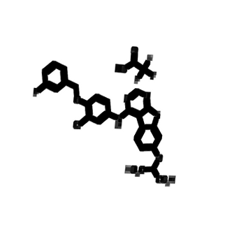 O=C(O)C(F)(F)F.O=C(O)C(Oc1ccc2c(c1)sc1ncnc(Nc3ccc(OCc4cccc(F)c4)c(Cl)c3)c12)C(=O)O